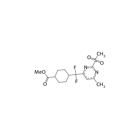 COC(=O)C1CCC(C(F)(F)c2cc(C)nc(S(C)(=O)=O)n2)CC1